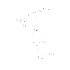 CC[C@H](NCCC1(O)CCC2(CC1)OCC(C)(C)CO2)c1ccc(OC)cc1